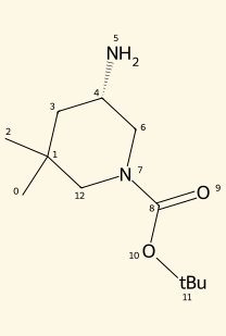 CC1(C)C[C@H](N)CN(C(=O)OC(C)(C)C)C1